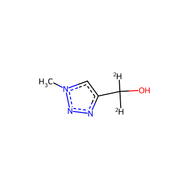 [2H]C([2H])(O)c1cn(C)nn1